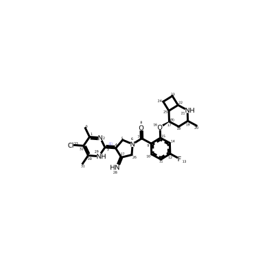 CC1=N/C(=C2\CN(C(=O)c3ccc(F)cc3O[C@@H]3CC(C)NC4CCC43)CC2=N)NC(C)=C1Cl